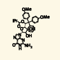 COc1ccc(C(c2ccccc2)(c2ccc(OC)cc2)C(OC(=O)C(C)C)[C@H]2O[C@@H](n3cnc4c(=O)[nH]c(N)nc43)[C@H](O)[C]2O)cc1